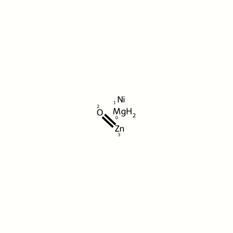 [MgH2].[Ni].[O]=[Zn]